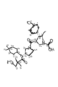 CC1[C@@H](c2ccc(Cl)cc2)[C@H](C(=O)N2CC[C@H](N(C(=O)C(C)(C)CO)C3CCC(C)(C)CC3)C2)CN1C(=O)O